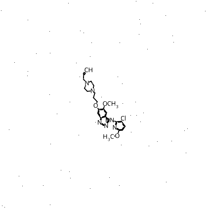 C#CCN1CCN(CCCOc2cc3ncnc(Nc4nc(OC)ccc4Cl)c3cc2OC)CC1